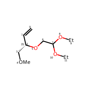 C=C[C@@H](COC)OCC(OCC)OCC